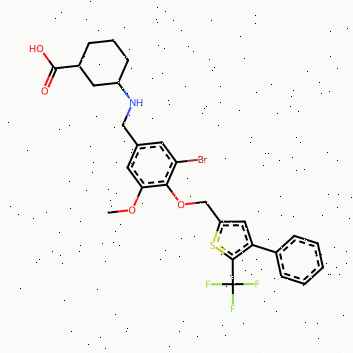 COc1cc(CNC2CCCC(C(=O)O)C2)cc(Br)c1OCc1cc(-c2ccccc2)c(C(F)(F)F)s1